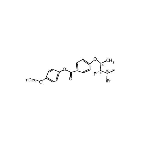 CCCCCCCCCCOc1ccc(OC(=O)c2ccc(O[C@@H](C)[C@@H](F)[C@H](F)C(C)C)cc2)cc1